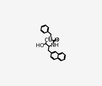 O=C(NC(Cc1ccc2ccccc2c1)C(O)C(=O)O)OCc1ccccc1